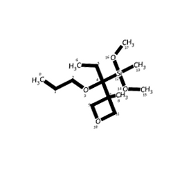 CCCOC(CC)(C1(C)COC1)[Si](C)(OC)OC